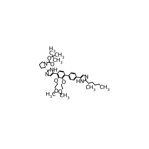 CCCC[C@H](C)c1ncc(-c2ccc(-c3ccc(-c4cnc([C@@H]5CCCN5C(=O)OC(C)(C)C)[nH]4)c(OCCOC)c3OCCOC)cc2)[nH]1